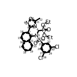 CCOP(=O)(CN(c1c(-c2noc(C)n2)ccc2ccccc12)S(=O)(=O)c1cc(Cl)cc(Cl)c1)OCC